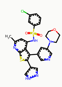 Cc1cc(NS(=O)(=O)c2cccc(Cl)c2)c2c(-c3cncc(N4CCOCC4)c3)c(-c3cn[nH]c3)sc2n1